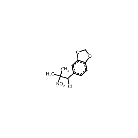 CC(C)(C(Cl)c1ccc2c(c1)OCO2)[N+](=O)[O-]